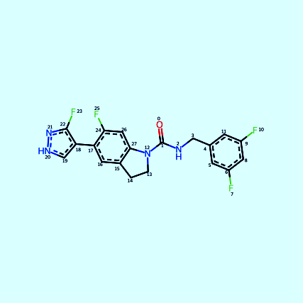 O=C(NCc1cc(F)cc(F)c1)N1CCc2cc(-c3c[nH]nc3F)c(F)cc21